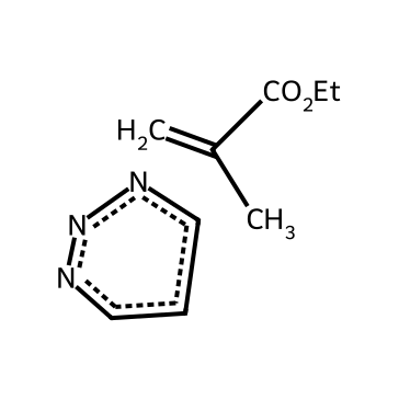 C=C(C)C(=O)OCC.c1cnnnc1